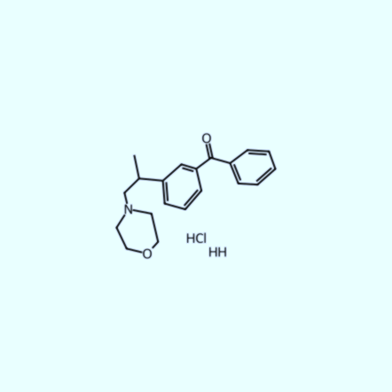 CC(CN1CCOCC1)c1cccc(C(=O)c2ccccc2)c1.Cl.[HH]